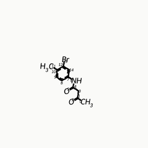 CC(=O)CC(=O)Nc1ccc(C)c(Br)c1